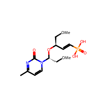 COC[C@@H](/C=C/P(=O)(O)O)O[C@H](COC)n1ccc(C)nc1=O